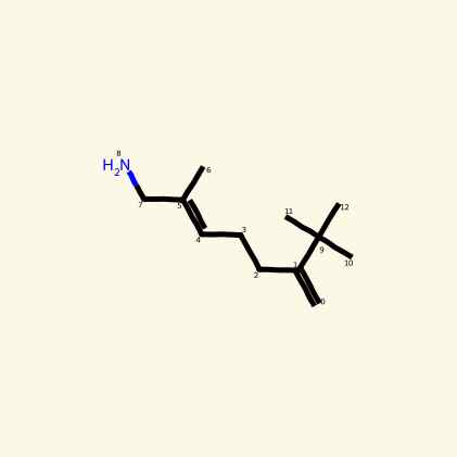 C=C(CC/C=C(\C)CN)C(C)(C)C